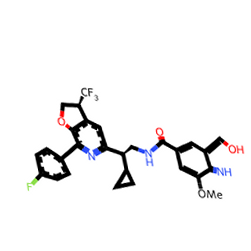 COC1=CC(C(=O)NC[C@H](c2cc3c(c(-c4ccc(F)cc4)n2)OC[C@H]3C(F)(F)F)C2CC2)=C/C(=C/O)C1=N